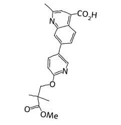 COC(=O)C(C)(C)COc1ccc(-c2ccc3c(C(=O)O)cc(C)nc3c2)cn1